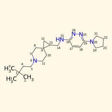 CC(C)(C)CCN1CCC2(CC1)CC2CNc1ccc(N2CCCC2)nn1